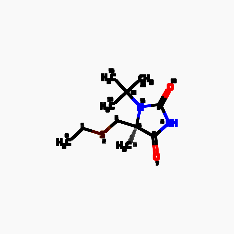 CCSC[C@]1(C)C(=O)NC(=O)N1C(C)(C)C